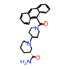 NC(=O)[C@@H]1CCCN(C2CCN(C(=O)c3c4ccccc4cc4ccccc34)CC2)C1